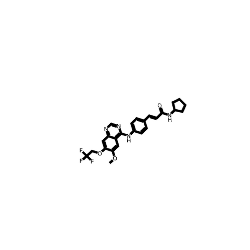 COc1cc2c(Nc3ccc(/C=C/C(=O)NC4CCCC4)cc3)ncnc2cc1OCC(F)(F)F